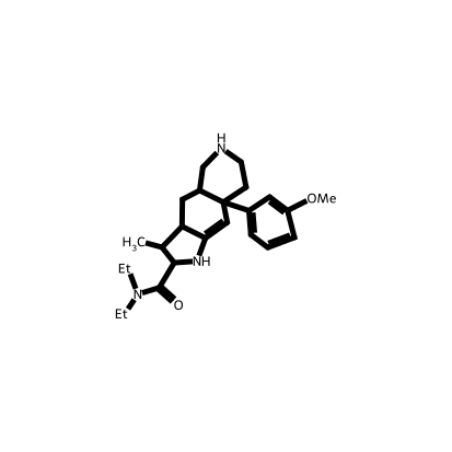 CCN(CC)C(=O)C1NC2=CC3(c4cccc(OC)c4)CCNCC3CC2C1C